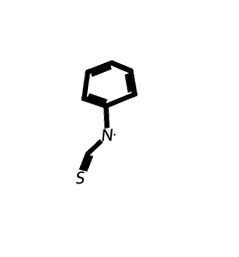 S=C[N]c1ccccc1